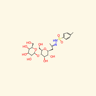 C/C(C[C@@H]1O[C@H](CO)[C@@H](O[C@@H]2O[C@H](CO)[C@H](O)[C@H](O)[C@H]2O)[C@H](O)[C@H]1O)=N\NS(=O)(=O)c1ccc(C)cc1